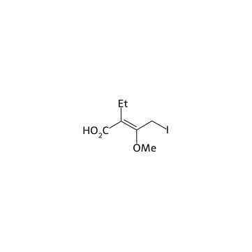 CCC(C(=O)O)=C(CI)OC